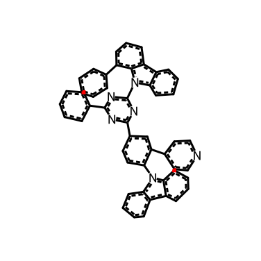 c1ccc(-c2nc(-c3ccc(-n4c5ccccc5c5ccccc54)c(-c4ccncc4)c3)nc(-n3c4ccccc4c4cccc(-c5ccccc5)c43)n2)cc1